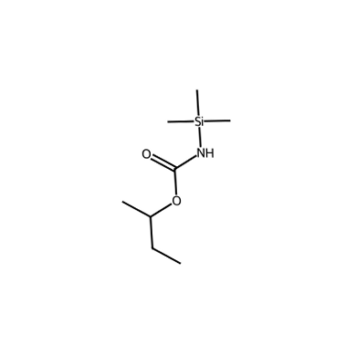 CCC(C)OC(=O)N[Si](C)(C)C